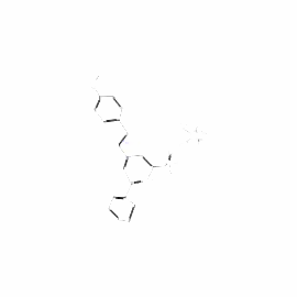 COc1ccc(/C=C/c2cc(-c3ccccc3)[o+]c([N+](=O)[O-])c2)cc1.[O-][Cl+3]([O-])([O-])[O-]